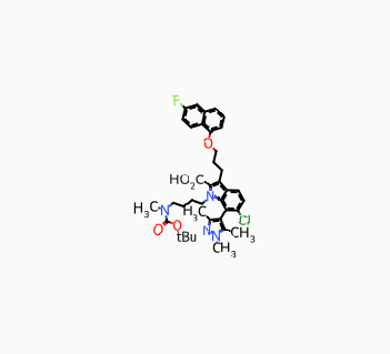 Cc1nn(C)c(C)c1-c1c(Cl)ccc2c(CCCOc3cccc4cc(F)ccc34)c(C(=O)O)n(CCCCN(C)C(=O)OC(C)(C)C)c12